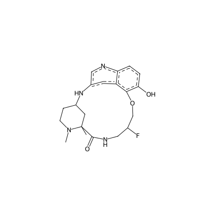 CN1CCC2CC1(C)C(=O)NCC(F)COc1c(O)ccc3ncc(cc13)N2